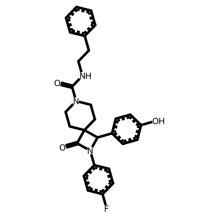 O=C(NCCc1ccccc1)N1CCC2(CC1)C(=O)N(c1ccc(F)cc1)C2c1ccc(O)cc1